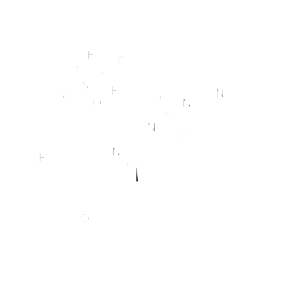 COc1cc(F)cc(N2[C@H](C)CN(S(=O)(=O)n3cc[n+](C)c3C)C[C@H]2C)c1.O=S(=O)([O-])C(F)(F)F